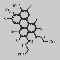 CCCCCCCCCCCNC(=O)c1c(Br)c(Br)c2c3cc(Br)c(C(=O)O)c4c(C(=O)O)c(Br)cc(c5c(Br)c(Br)c(C(=O)NCCCCCCCCCCC)c1c25)c43